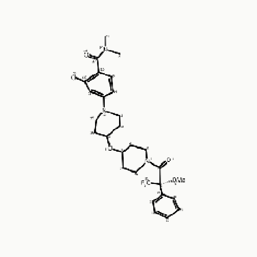 CO[C@](C(=O)N1CCC(OC2CCN(c3ccc(C(=O)N(C)C)c(Cl)c3)CC2)CC1)(c1ccccc1)C(F)(F)F